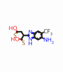 Nc1cc2[nH]c(C(CC(O)=S)C(O)=S)nc2cc1C(F)(F)F